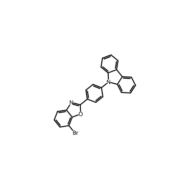 Brc1cccc2nc(-c3ccc(-n4c5ccccc5c5ccccc54)cc3)oc12